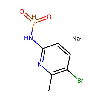 Cc1nc(N[SH](=O)=O)ccc1Br.[Na]